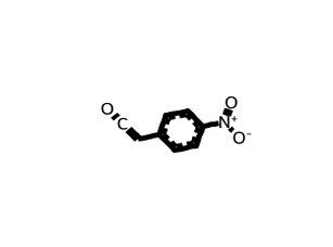 O=C=Cc1ccc([N+](=O)[O-])cc1